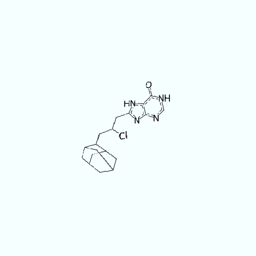 O=c1[nH]cnc2nc(CC(Cl)CC3C4CC5CC(C4)CC3C5)[nH]c12